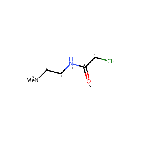 CNCCNC(=O)CCl